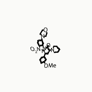 COc1cccc(-c2cc(N3CCCCC3)c(=O)n(-c3cc(N4CCOCC4)ccc3[N+](=O)[O-])n2)c1